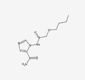 CCCCOCC(=O)Nn1cncc1C(N)=O